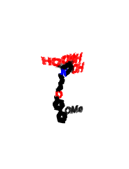 COc1ccccc1-c1ccc(COCCCCCN2C[C@H](O)[C@@H](O)[C@H](O)[C@H]2CO)cc1